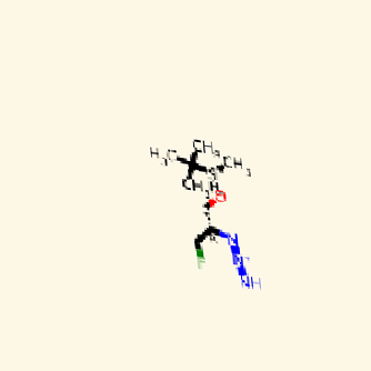 C[SiH](OC[C@@H](CF)N=[N+]=N)C(C)(C)C